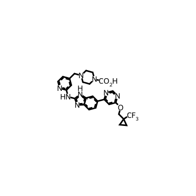 O=C(O)N1CCN(Cc2ccnc(Nc3nc4ccc(-c5cc(OCC6(C(F)(F)F)CC6)ncn5)cc4[nH]3)c2)CC1